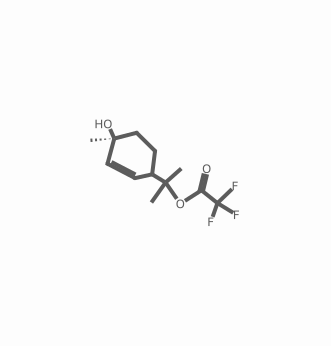 CC(C)(OC(=O)C(F)(F)F)C1C=C[C@@](C)(O)CC1